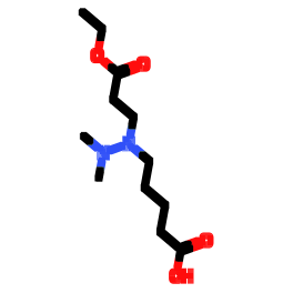 CCOC(=O)CCN(CCCCC(=O)O)N(C)C